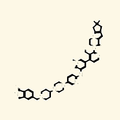 Cn1cc(-c2ccnc(N3CCn4c(cc5c4CC(C)(C)C5)C3=O)c2CO)cc(Nc2ccc(N3CCN(C4CCN(Cc5ccc6c(c5)C=NC6=O)CC4)CC3)cn2)c1=O